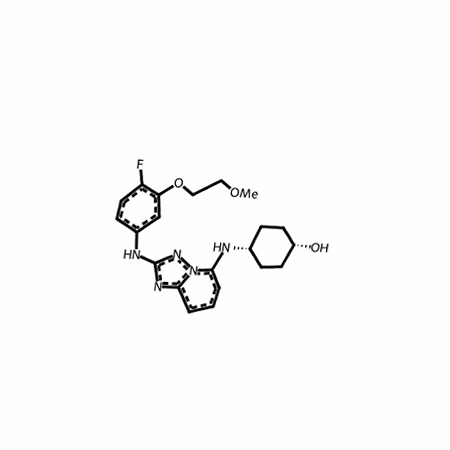 COCCOc1cc(Nc2nc3cccc(N[C@H]4CC[C@@H](O)CC4)n3n2)ccc1F